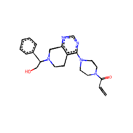 C=CC(=O)N1CCN(c2ncnc3c2CCN(C(CO)c2ccccc2)C3)CC1